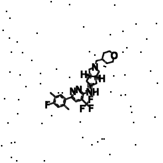 Cc1cc(-c2cc(C(F)(F)F)c(N[C@H]3C[C@@H]4CN(CC5CCOCC5)C[C@@H]4C3)nn2)c(C)cc1F